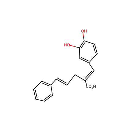 O=C(O)/C(=C/c1ccc(O)c(O)c1)C/C=C/c1ccccc1